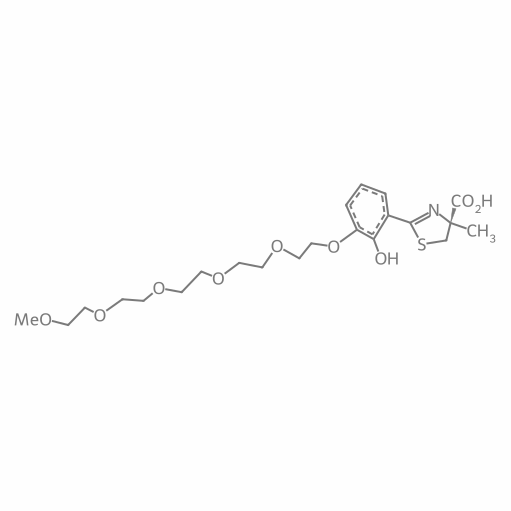 COCCOCCOCCOCCOCCOc1cccc(C2=N[C@@](C)(C(=O)O)CS2)c1O